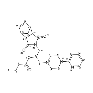 CCCC(=O)OC(CN1CCN(c2ccccn2)CC1)CN1C(=O)C2C3C=CC(C3)C2C1=O